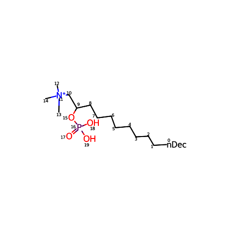 CCCCCCCCCCCCCCCCCCC(C[N+](C)(C)C)OP(=O)(O)O